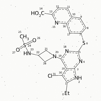 CCc1[nH]c2nc(Sc3ccc4ccc(C(=O)O)nc4c3)nc(N3CC(NS(C)(=O)=O)C3)c2c1Cl